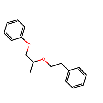 CC(COc1ccccc1)OCCc1ccccc1